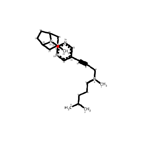 CC(C)CCCN(C)CC#Cc1cnc(N2C3CCC2CN(C)C3)nc1